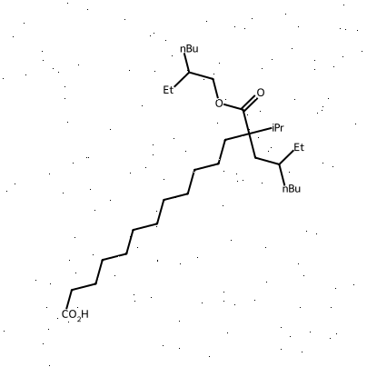 CCCCC(CC)COC(=O)C(CCCCCCCCCCCC(=O)O)(CC(CC)CCCC)C(C)C